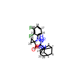 NC(=O)C12CC3CC(C1)C(NC(=O)C1(Nc4cccc(F)c4F)CC1)C(C3)C2